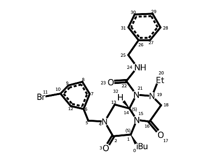 CCC(C)[C@H]1C(=O)N(Cc2cccc(Br)c2)C[C@H]2N1C(=O)CN(CC)N2C(=O)NCc1ccccc1